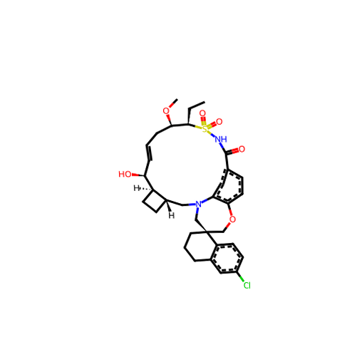 CC[C@@H]1[C@H](OC)C/C=C/[C@H](O)[C@@H]2CC[C@H]2CN2C[C@@]3(CCCc4cc(Cl)ccc43)COc3ccc(cc32)C(=O)NS1(=O)=O